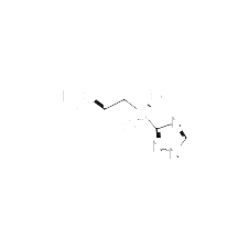 C=CCS(=O)(=O)C1=N[N]C=N1